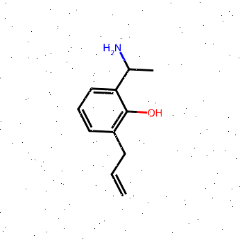 C=CCc1cccc(C(C)N)c1O